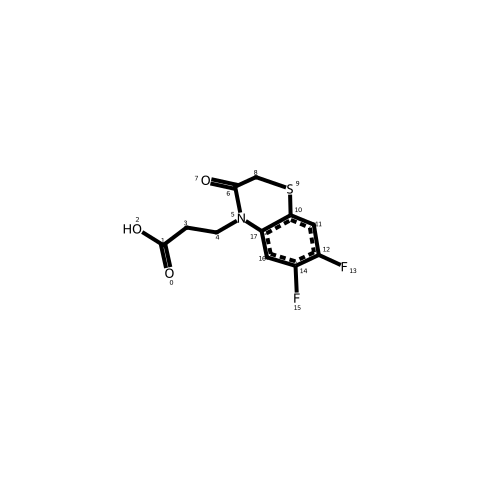 O=C(O)CCN1C(=O)CSc2cc(F)c(F)cc21